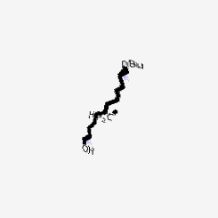 CC(=O)O.CCCC/C=C/CCCCCCCC/C=C/O